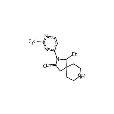 CCC1N(c2ccnc(C(F)(F)F)n2)C(=O)CC12CCNCC2